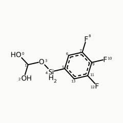 OC(O)O[SiH2]c1cc(F)c(F)c(F)c1